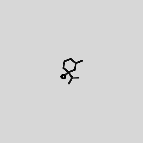 C[C](C)C1([O])CCCC(C)C1